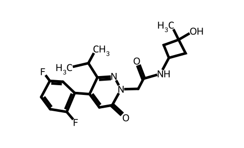 CC(C)c1nn(CC(=O)NC2CC(C)(O)C2)c(=O)cc1-c1cc(F)ccc1F